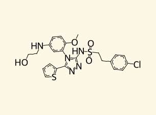 COc1ccc(NCCO)cc1-n1c(NS(=O)(=O)CCc2ccc(Cl)cc2)nnc1-c1cccs1